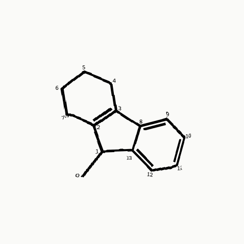 CC1C2=C(CCC[C]2)c2ccccc21